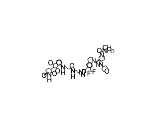 CNC(=O)N1CCc2c(c(N3CCCc4cc(-c5cnn(CCNC(=O)CCNc6cccc7c6C(=O)C(C6CCC(=O)NC6=O)C7=O)c5)c(C(F)F)cc43)nn2C2CCOCC2)C1